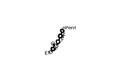 CCCCCc1ccc(-c2ccc(C3CCC(OC(=O)c4ccc(OCC)cc4F)CC3)c(F)c2F)cc1